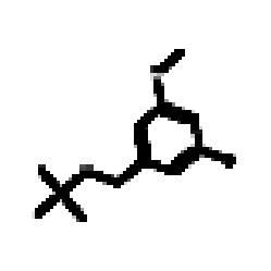 COc1cc(F)cc(COC(C)(C)C)c1